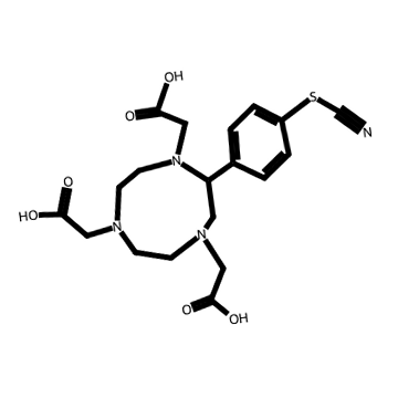 N#CSc1ccc(C2CN(CC(=O)O)CCN(CC(=O)O)CCN2CC(=O)O)cc1